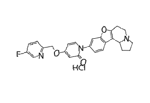 Cl.O=c1cc(OCc2ccc(F)cn2)ccn1-c1ccc2c3c(oc2c1)CCN1CCCC31